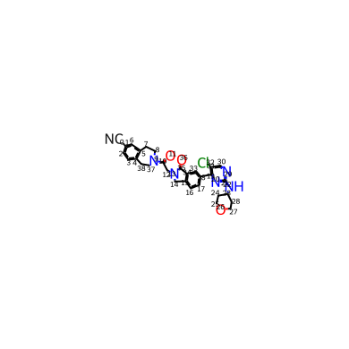 N#Cc1ccc2c(c1)CCN(C(=O)CN1Cc3ccc(-c4nc(NC5CCOCC5)ncc4Cl)cc3C1=O)CC2